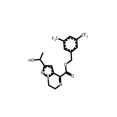 CC(O)c1cc2n(n1)CCN=C2C(=O)OCc1cc(C(F)(F)F)cc(C(F)(F)F)c1